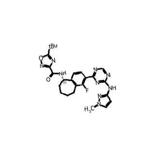 Cn1ccc(Nc2ncnc(-c3ccc4c(c3F)CCCC[C@@H]4NC(=O)c3noc(C(C)(C)C)n3)n2)n1